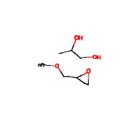 CC(O)CO.CCCOCC1CO1